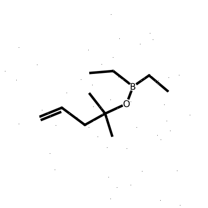 C=CCC(C)(C)OB(CC)CC